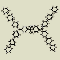 CC(C)(C1=CCC(N(C2=CCC(C3=CCC(C4CCCCC4)CC3)CC2)c2ccc(-c3ccc(C4=CCCCC4)cc3)cc2)CC1)C1C=CC(N(C2=CCC(C3C=CC(C4=CCCC=C4)=CC3)CC2)C2CCC(C3=CCC(C4CC=CCC4)CC3)CC2)=CC1